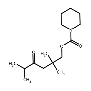 CC(C)C(=O)CC(C)(C)COC(=O)N1CCCCC1